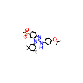 CC(C)Oc1ccc(Nc2nc3ccc(S(C)(=O)=O)cc3n2[C@@H]2C[C@H](C)CC(C)(C)C2)cc1